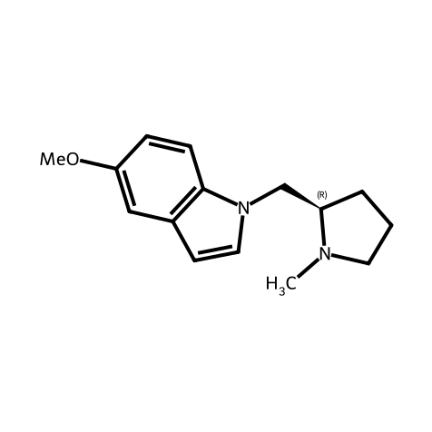 COc1ccc2c(ccn2C[C@H]2CCCN2C)c1